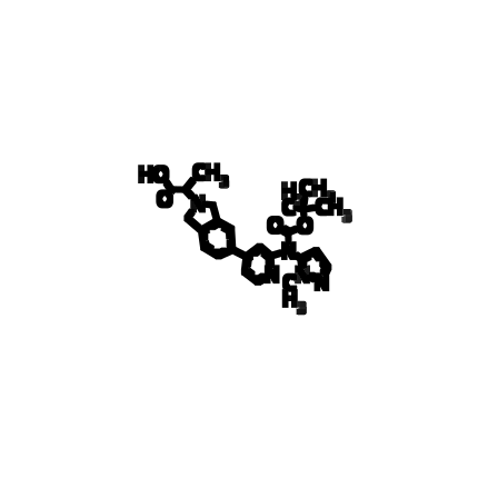 CC(C(=O)O)N1Cc2ccc(-c3ccnc(N(C(=O)OC(C)(C)C)c4ccnn4C)c3)cc2C1